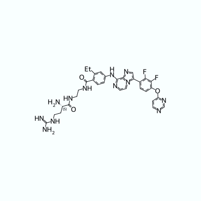 CCc1cc(Nc2nccn3c(-c4ccc(Oc5ccncn5)c(F)c4F)cnc23)ccc1C(=O)NCCNC(=O)[C@@H](N)CCNC(=N)N